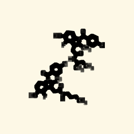 CCC(C)NC(=O)Cc1c(C)n(C(=O)c2ccc(Cl)cc2)c2ccc(O)c(F)c12.CCCCNC(=O)Cc1c(C)n(C(=O)c2ccc(Cl)cc2)c2ccc(O)c(F)c12